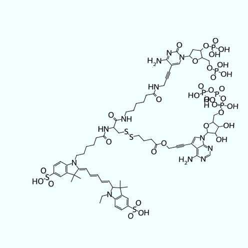 CCN1c2ccc(S(=O)(=O)O)cc2C(C)(C)C1/C=C/C=C/C=C1/N(CCCCCC(=O)NC(CSSCCCC(=O)OCC#Cc2cn(C3OC(COP(=O)(O)OP(=O)(O)OP(=O)(O)O)C(O)C3O)c3ncnc(N)c23)C(=O)NCCCCCC(=O)NCC#Cc2cn(C3CC(OP(=O)(O)O)C(COP(=O)(O)O)O3)c(=O)nc2N)c2ccc(S(=O)(=O)O)cc2C1(C)C